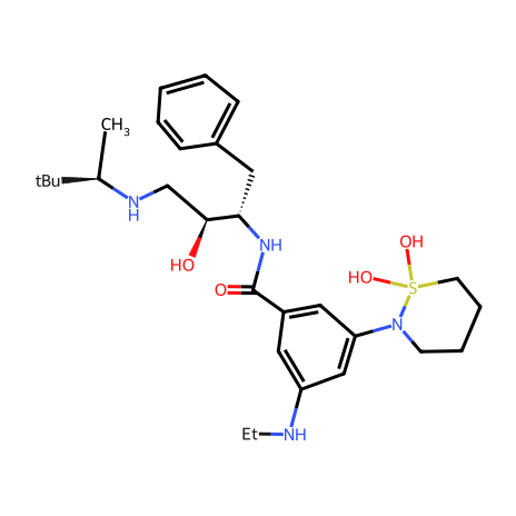 CCNc1cc(C(=O)N[C@@H](Cc2ccccc2)[C@@H](O)CN[C@H](C)C(C)(C)C)cc(N2CCCCS2(O)O)c1